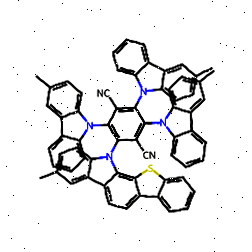 Cc1ccc2c(c1)c1ccccc1n2-c1c(C#N)c(-n2c3ccccc3c3cc(C)ccc32)c(-n2c3ccc(C)cc3c3ccc4c5ccccc5sc4c32)c(C#N)c1-n1c2ccccc2c2cc(C)ccc21